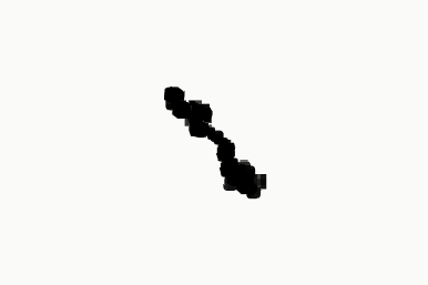 Nc1ncnc2c1c(-c1ccc(Oc3ccccc3)cc1)nn2C1CCCN(CCOCCN2CCC(c3ccc4c(c3)C(=O)N(C3CCC(=O)NC3=O)C4=O)CC2)C1